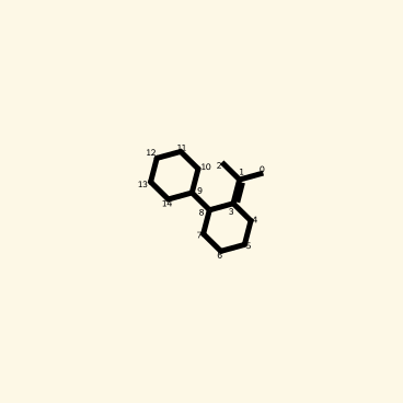 CC(C)=C1CCCCC1C1CCCCC1